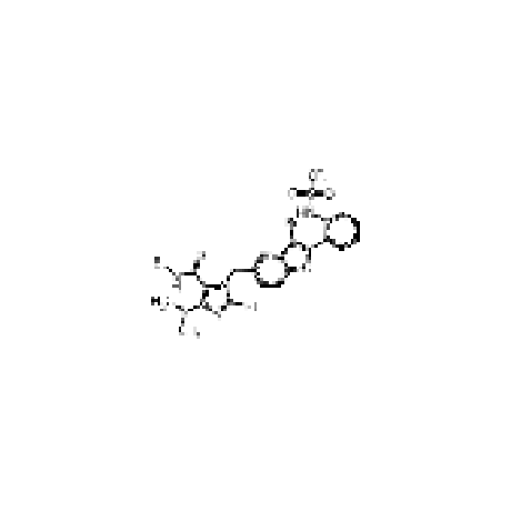 CCNC(=O)c1c(N(C)C)nc(CC)n1Cc1ccc2oc(-c3ccccc3NS(=O)(=O)C(F)(F)F)c(Br)c2c1